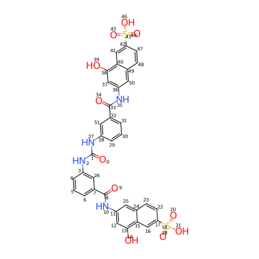 O=C(Nc1cccc(C(=O)Nc2cc(O)c3cc(S(=O)(=O)O)ccc3c2)c1)Nc1cccc(C(=O)Nc2cc(O)c3cc(S(=O)(=O)O)ccc3c2)c1